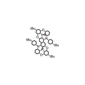 CC(C)(C)c1ccc(N2c3cccc4c3P3(=S)c5c(cc(C(C)(C)C)cc5Oc5cc6c7c8c(cc6c2c53)Oc2cc(C(C)(C)C)cc3c2P8(=S)c2c(cccc2N7c2ccc(C(C)(C)C)cc2)O3)O4)cc1